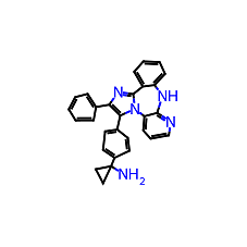 NC1(c2ccc(-c3c(-c4ccccc4)nc4n3-c3cccnc3Nc3ccccc3-4)cc2)CC1